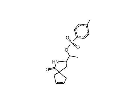 Cc1ccc(S(=O)(=O)OC(C)C2CC3(CC=CC3)C(=O)N2)cc1